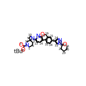 CC(C)(C)OC(=O)N1CCCC2(CCN2c2ccc3c(n2)OCc2cc(-c4cnn(C5CCCCO5)c4)ccc2-3)C1